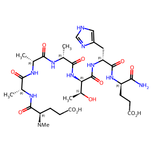 CN[C@H](CCC(=O)O)C(=O)N[C@H](C)C(=O)N[C@H](C)C(=O)N[C@H](C)C(=O)N[C@@H](C(=O)N[C@H](Cc1c[nH]cn1)C(=O)N[C@H](CCC(=O)O)C(N)=O)[C@H](C)O